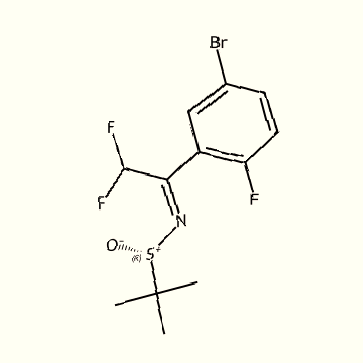 CC(C)(C)[S@+]([O-])N=C(c1cc(Br)ccc1F)C(F)F